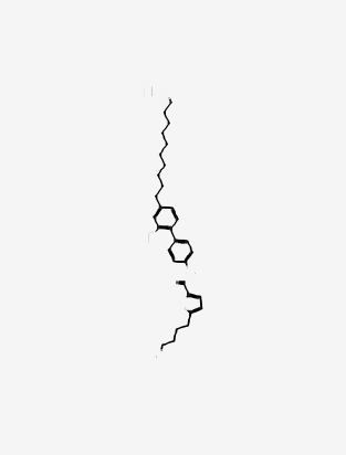 CCCCCCCCCCCc1ccc(-c2ccc(OC(=O)c3ccc(CCCCC)s3)cc2)c(F)c1